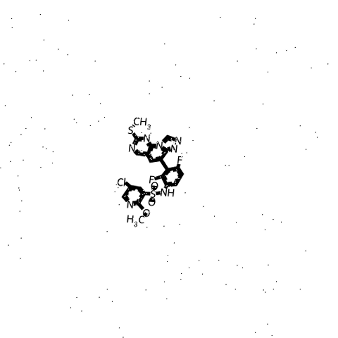 COc1ncc(Cl)cc1S(=O)(=O)Nc1ccc(F)c(-c2cc3cnc(SC)nc3n3cnnc23)c1F